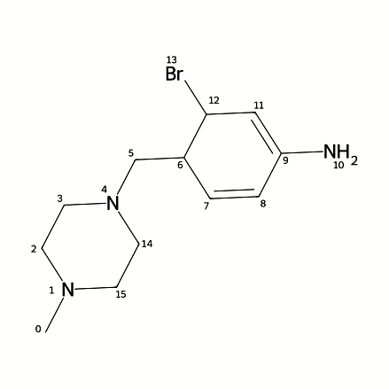 CN1CCN(CC2C=CC(N)=CC2Br)CC1